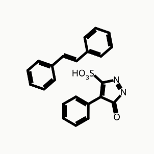 C(=Cc1ccccc1)c1ccccc1.O=C1N=NC(S(=O)(=O)O)=C1c1ccccc1